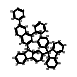 c1ccc(-c2ccc3nc(-n4c5ccccc5c5ccc(C6(c7ccccc7)c7ccccc7-c7ccccc76)cc54)cc(-c4ccccc4)c3c2)cc1